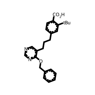 CC(C)(C)c1cc(CCCc2cncnc2OCc2ccccc2)ccc1C(=O)O